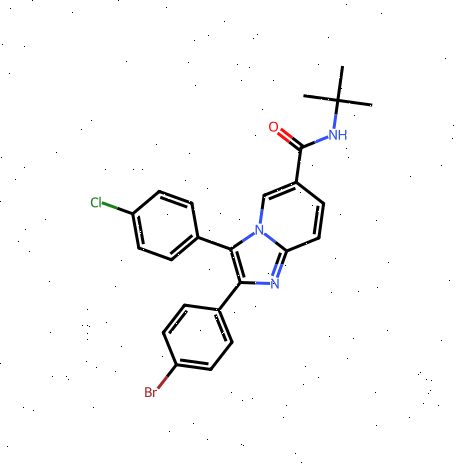 CC(C)(C)NC(=O)c1ccc2nc(-c3ccc(Br)cc3)c(-c3ccc(Cl)cc3)n2c1